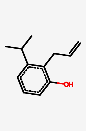 C=CCc1c(O)cccc1C(C)C